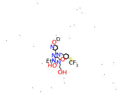 CCN1c2nc(-c3ccc(OC4CCC4)nc3)n(Cc3ccc(SC(F)(F)F)cc3)c2C(=O)N(CCCO)C1O